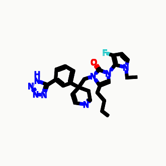 CCCCc1cn(-c2c(F)ccn2CC)c(=O)n1CC1(c2cccc(-c3nnn[nH]3)c2)C=CN=CC1